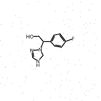 OCC(c1ccc(F)cc1)N1CNC=N1